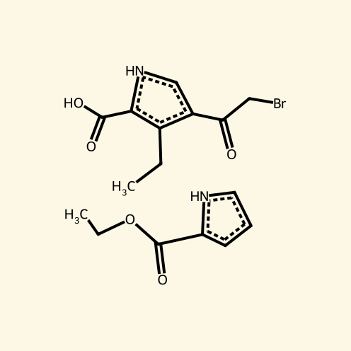 CCOC(=O)c1ccc[nH]1.CCc1c(C(=O)CBr)c[nH]c1C(=O)O